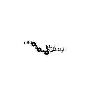 CCCCc1ccc(COc2ccc(/C=C/c3cccc4c3c(CC(=O)O)cn4CCCC(=O)O)cc2)cc1